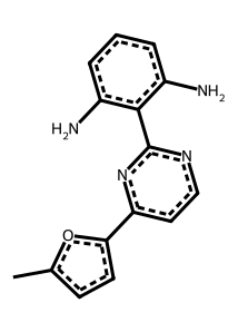 Cc1ccc(-c2ccnc(-c3c(N)cccc3N)n2)o1